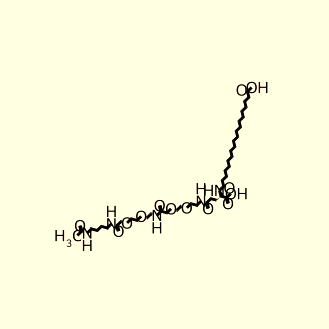 CC(=O)NCCCCNC(=O)COCCOCCNC(=O)COCCOCCNC(=O)CC[C@H](NC(=O)CCCCCCCCCCCCCCCCCCC(=O)O)C(=O)O